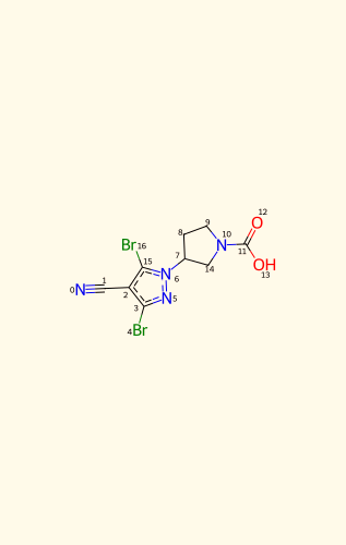 N#Cc1c(Br)nn(C2CCN(C(=O)O)C2)c1Br